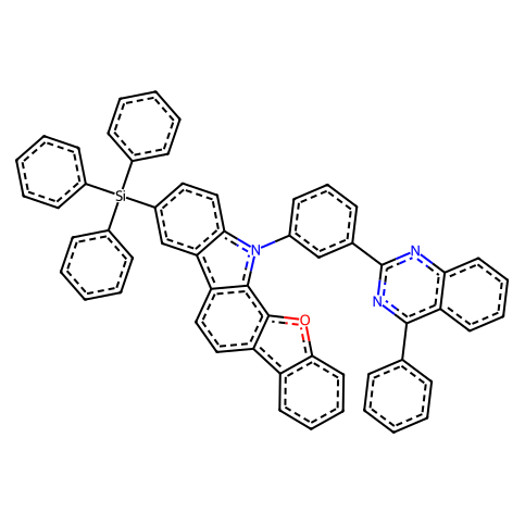 c1ccc(-c2nc(-c3cccc(-n4c5ccc([Si](c6ccccc6)(c6ccccc6)c6ccccc6)cc5c5ccc6c7ccccc7oc6c54)c3)nc3ccccc23)cc1